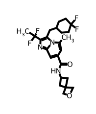 Cc1cc(C(=O)NC2CC3(COC3)C2)cc2nc(C(C)(F)F)c(CC3CCC(F)(F)CC3)n12